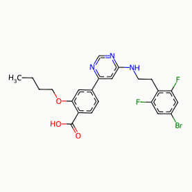 CCCCOc1cc(-c2cc(NCCc3c(F)cc(Br)cc3F)ncn2)ccc1C(=O)O